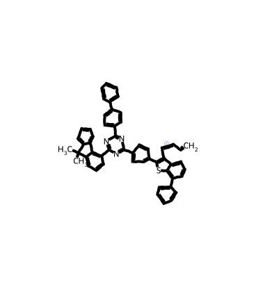 C=C/C=C\c1c(-c2ccc(-c3nc(-c4ccc(-c5ccccc5)cc4)nc(-c4cccc5c4-c4ccccc4C5(C)C)n3)cc2)sc2c(-c3ccccc3)cccc12